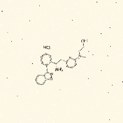 CN(CCO)c1cccc(C[C@H](N)c2ccccc2-c2noc3ccccc23)n1.Cl